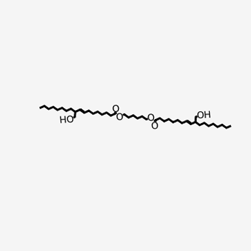 CCCCCCCCC(/C=C/CCCCCCC(=O)OCCCCCCOC(=O)CCCCCC/C=C/C(CO)CCCCCCCC)CO